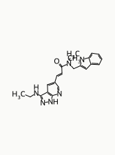 CCNc1n[nH]c2ncc(/C=C/C(=O)N(C)Cc3cc4ccccc4n3C)cc12